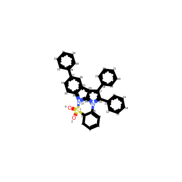 O=S1(=O)C2CC=CC=C2n2c(-c3ccccc3)c(-c3ccccc3)c3c4cc(-c5ccccc5)ccc4n1c32